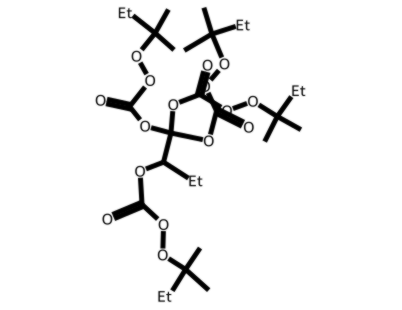 CCC(OC(=O)OOC(C)(C)CC)C(OC(=O)OOC(C)(C)CC)(OC(=O)OOC(C)(C)CC)OC(=O)OOC(C)(C)CC